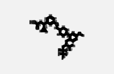 COc1ccc(CN(CC(F)(F)C(F)(F)F)C(C)C)c(N2CCC(COc3cccc(C(CC(=O)O)C4CC4)c3)CC2)c1